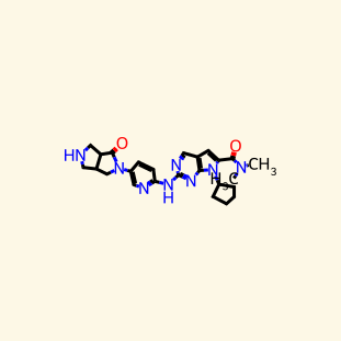 CN(C)C(=O)c1cc2cnc(Nc3ccc(N4CC5CNCC5C4=O)cn3)nc2n1C1CCCC1